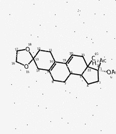 CC(=O)O[C@]1(C(C)=O)CCC2C3CCC4=C(CCC5(C4)OCCO5)C3=CCC21C